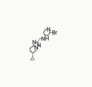 Brc1cc(NCc2nc3ccc(C4CC4)cn3n2)ccn1